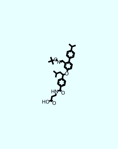 CC(C)CC(Oc1ccc(-c2ccc(C(C)C)cc2)c(C=NOC(C)(C)C)c1)c1ccc(C(=O)NCCC(=O)O)cc1